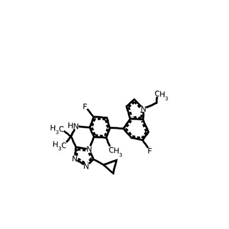 CCn1ccc2c(-c3cc(F)c4c(c3C)-n3c(C5CC5)nnc3C(C)(C)N4)cc(F)cc21